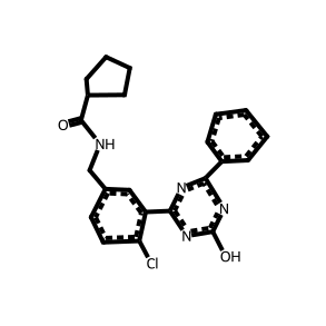 O=C(NCc1ccc(Cl)c(-c2nc(O)nc(-c3ccccc3)n2)c1)C1CCCC1